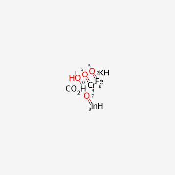 O=C(O)O.[KH].[O]=[Cr].[O]=[Fe].[O]=[InH]